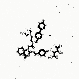 CCN(CC)CCN(Cc1ccc(-c2ccc(Cl)cc2)cc1)C(=O)Cn1c(SCc2ccc(F)cc2)nc(=O)c2c1CCCC2.O=C(O)C(O)C(O)C(=O)O